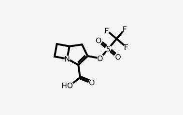 O=C(O)C1=C(OS(=O)(=O)C(F)(F)F)CC2CCN12